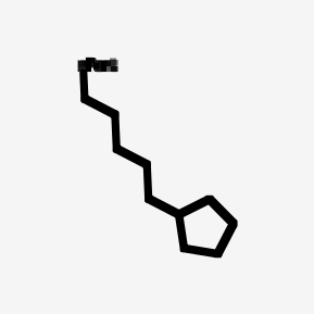 CCCCCCCCCCC1CCCC1